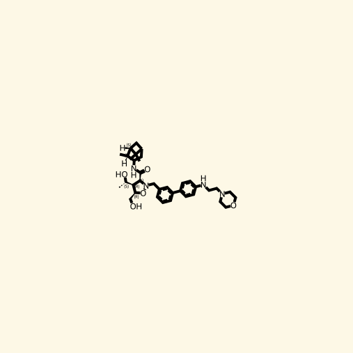 C[C@H](O)[C@@H]1[C@H](CO)ON(Cc2cccc(-c3ccc(NCCN4CCOCC4)cc3)c2)[C@@H]1C(=O)NC1CC2C[C@@H]([C@@H]1C)C2(C)C